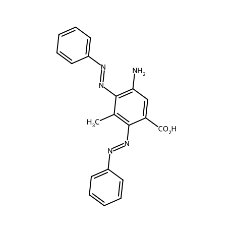 Cc1c(N=Nc2ccccc2)c(N)cc(C(=O)O)c1N=Nc1ccccc1